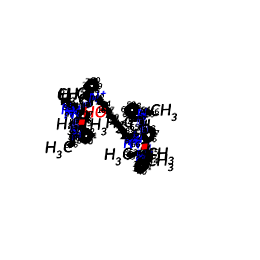 CCCc1cn(C2=C(/C=C/C3=[N+](CCCC(O)CCCCCCCCc4cn(C5=C(/C=C/C6=[N+](CCC)c7ccccc7C6(C)C)CCC/C5=C\C=C5\N(CCC)c6ccccc6C5(C)C)nn4)c4ccccc4C3(C)C)CCC/C2=C\C=C2\N(CCC)c3ccccc3C2(C)C)nn1